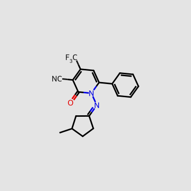 CC1CCC(=Nn2c(-c3ccccc3)cc(C(F)(F)F)c(C#N)c2=O)C1